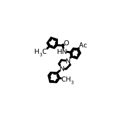 CC(=O)c1ccc(N2CCN(c3ccccc3C)CC2)c(NC(=O)c2cccc(C)c2)c1